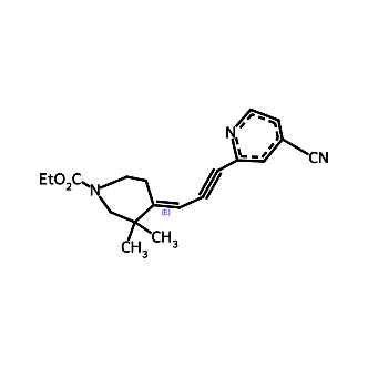 CCOC(=O)N1CC/C(=C\C#Cc2cc(C#N)ccn2)C(C)(C)C1